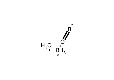 B.O.[B]=O